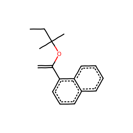 C=C(OC(C)(C)CC)c1cccc2ccccc12